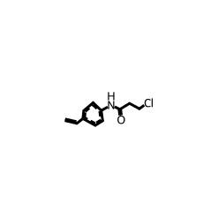 C=Cc1ccc(NC(=O)CCCl)cc1